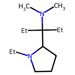 CCN1CCCC1C(CC)(CC)N(C)C